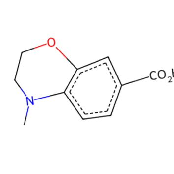 CN1CCOc2cc(C(=O)O)ccc21